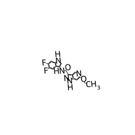 CCOc1cc2[nH]nc(C(=O)Nc3c[nH]c4cc(F)c(F)cc34)c2cn1